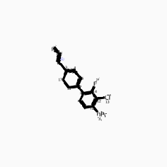 C/C=C/C1CC=C(c2ccc(CCC)c(Cl)c2F)CC1